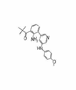 COc1ccc(Nc2cncc(-c3cccc(C(=O)C(C)(C)C)c3N)c2)cc1